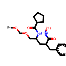 CCOCOCC(CC(Cc1ccccc1)C(=O)NO)NC(=O)C1CCCC1